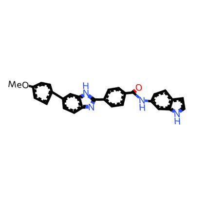 COc1ccc(-c2ccc3nc(-c4ccc(C(=O)Nc5ccc6cc[nH]c6c5)cc4)[nH]c3c2)cc1